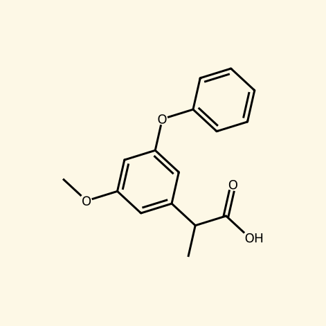 COc1cc(Oc2ccccc2)cc(C(C)C(=O)O)c1